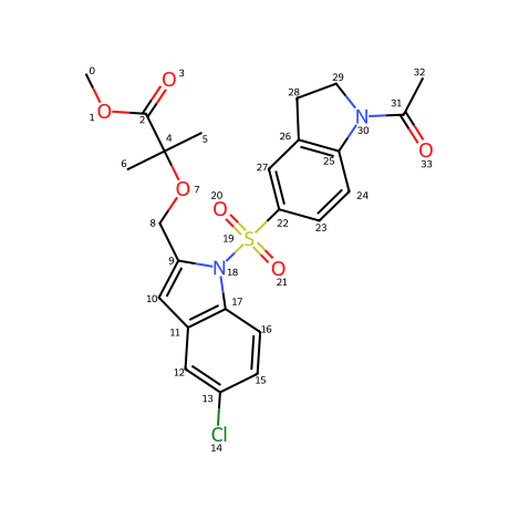 COC(=O)C(C)(C)OCc1cc2cc(Cl)ccc2n1S(=O)(=O)c1ccc2c(c1)CCN2C(C)=O